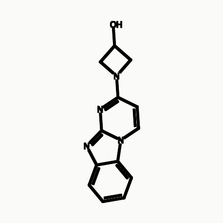 OC1CN(c2ccn3c(n2)nc2ccccc23)C1